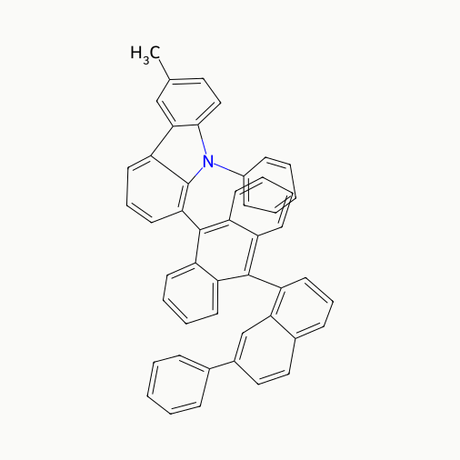 Cc1ccc2c(c1)c1cccc(-c3c4ccccc4c(-c4cccc5ccc(-c6ccccc6)cc45)c4ccccc34)c1n2-c1ccccc1